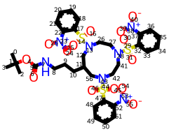 CC(C)(C)OC(=O)NCCCC1CN(S(=O)(=O)c2ccccc2[N+](=O)[O-])CCN(S(=O)(=O)c2ccccc2[N+](=O)[O-])CCN(S(=O)(=O)c2ccccc2[N+](=O)[O-])C1